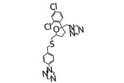 Clc1ccc(C2(Cn3cncn3)CCC(CSCc3ccc(-n4cncn4)cc3)O2)c(Cl)c1